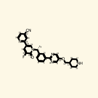 C[C@H](c1cccc(-c2ncc(OCC3CCNCC3)cn2)c1)n1cc(-c2cc(C#N)ccn2)cc(F)c1=O